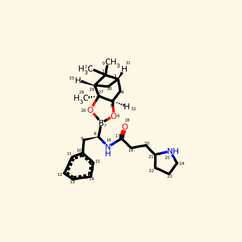 CC1(C)[C@@H]2C[C@H]3OB([C@H](Cc4ccccc4)NC(=O)CCC4CCCN4)O[C@@]3(C)[C@H]1C2